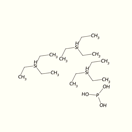 CC[SiH](CC)CC.CC[SiH](CC)CC.CC[SiH](CC)CC.OP(O)O